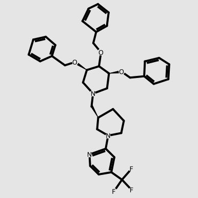 FC(F)(F)c1ccnc(N2CCC[C@H](CN3C[C@H](OCc4ccccc4)C(OCc4ccccc4)[C@H](OCc4ccccc4)C3)C2)c1